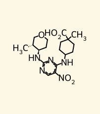 C[C@@H]1COCC[C@H]1Nc1ncc([N+](=O)[O-])c(NC2CCC(C)(C(=O)O)CC2)n1